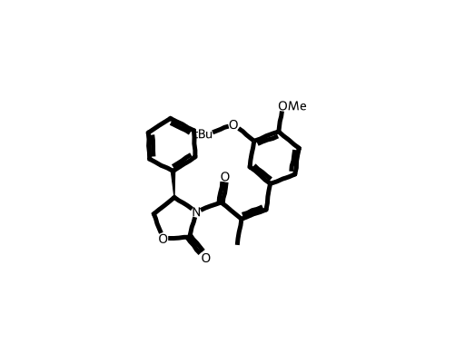 COc1ccc(C=C(C)C(=O)N2C(=O)OC[C@H]2c2ccccc2)cc1OC(C)(C)C